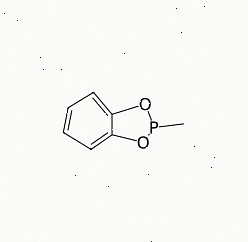 CP1Oc2ccccc2O1